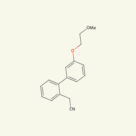 COCCOc1cccc(-c2ccccc2CC#N)c1